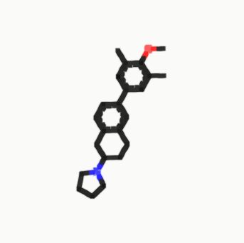 COc1c(C)cc(-c2ccc3c(c2)CCC(N2CCCC2)C3)cc1C